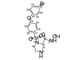 O=C(NO)C1CNCCN1S(=O)(=O)c1ccc(Oc2ccc(Br)cc2)cc1